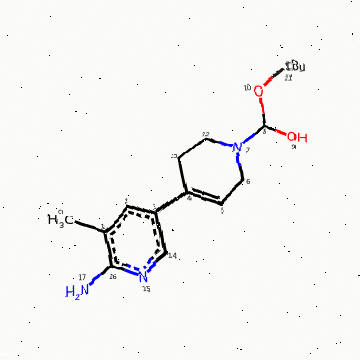 Cc1cc(C2=CCN(C(O)OC(C)(C)C)CC2)cnc1N